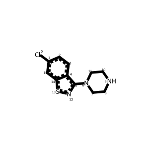 Clc1ccc2c(N3CCNCC3)nsc2c1